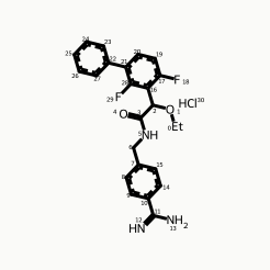 CCOC(C(=O)NCc1ccc(C(=N)N)cc1)c1c(F)ccc(-c2ccccc2)c1F.Cl